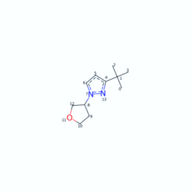 CC(C)(C)c1ccn(C2CCOC2)n1